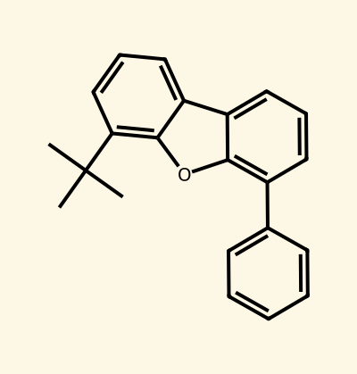 CC(C)(C)c1cccc2c1oc1c(-c3ccccc3)cccc12